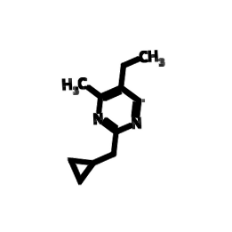 CCc1[c]nc(CC2CC2)nc1C